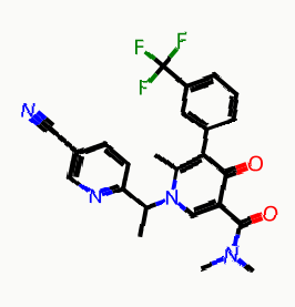 Cc1c(-c2cccc(C(F)(F)F)c2)c(=O)c(C(=O)N(C)C)cn1C(C)c1ccc(C#N)cn1